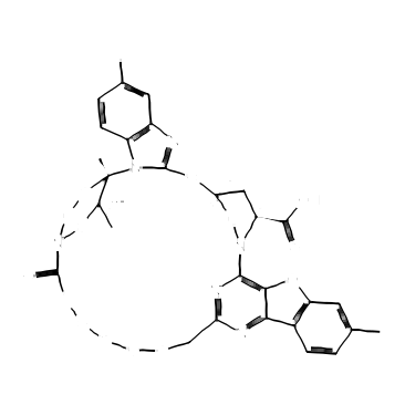 Cc1ccc2c(c1)oc1c3nc(nc12)CCCCOCC(=O)N1CC[C@@H]([C@@H](C)C1)n1c(nc2cc(Cl)ccc21)O[C@H]1C[C@@H](C(=O)O)N3C1